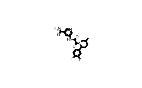 CC1CCC(c2ccc(F)c(F)c2)N(C(=O)C(=O)Nc2cncc(C(N)=O)c2)C1